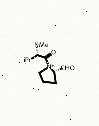 CN[C@H](C(=O)[N+]1CCC[C@H]1C=O)C(C)C